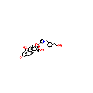 C[C@]12C=CC(=O)C=C1CC[C@@H]1[C@@H]2[C@@H](O)C[C@@]2(C)[C@H]1C[C@H]1O[C@@H](c3ccn(Cc4cccc(CCO)c4)c3)O[C@]12C(=O)CO